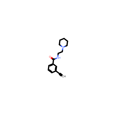 C#Cc1cccc(C(=O)NCCN2CCCCC2)c1